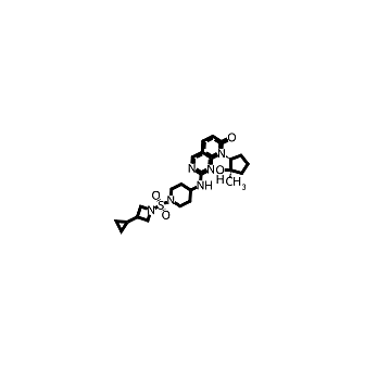 C[C@@]1(O)CCC[C@H]1n1c(=O)ccc2cnc(NC3CCN(S(=O)(=O)N4CC(C5CC5)C4)CC3)nc21